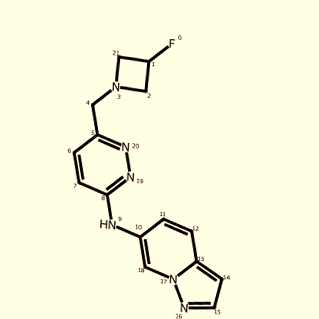 FC1CN(Cc2ccc(Nc3ccc4ccnn4c3)nn2)C1